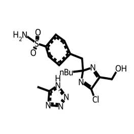 CCCCC1(Cc2ccc(S(N)(=O)=O)cc2)N=C(Cl)C(CO)=N1.Cc1nnn[nH]1